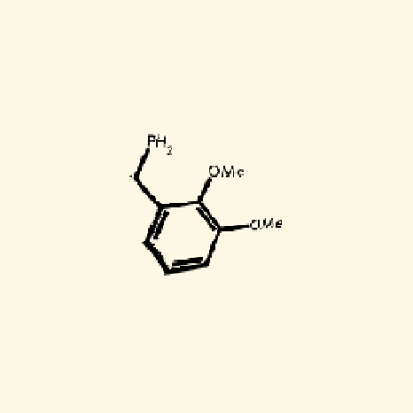 COc1cccc([C]P)c1OC